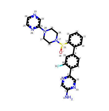 Nc1cnc(-c2ccc(-c3ccccc3[S+]([O-])N3CCN(c4cnccn4)CC3)cc2F)cn1